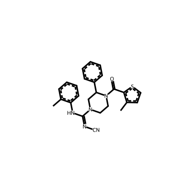 Cc1ccccc1N/C(=N/C#N)N1CCN(C(=O)c2sccc2C)C(c2ccccc2)C1